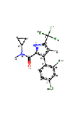 Cc1c(C(F)(F)F)[nH]c(C(=O)N(C)C2CC2)c1-c1ccc(Cl)cc1F